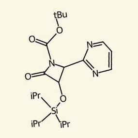 CC(C)[Si](OC1C(=O)N(C(=O)OC(C)(C)C)C1c1ncccn1)(C(C)C)C(C)C